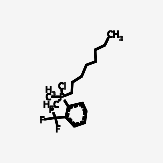 CCCCCCCCP(C)(C)(Cl)c1ccccc1C(F)(F)F